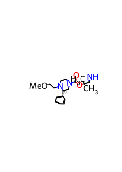 COCCN1CCN(C(=O)OC(C)(C)C=N)C[C@@H]1c1ccccc1